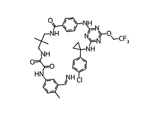 Cc1ccc(NC(=O)C(=O)NCC(C)(C)CNC(=O)c2ccc(Nc3nc(NC4(c5ccc(Cl)cc5)CC4)nc(OCC(F)(F)F)n3)cc2)cc1C=N